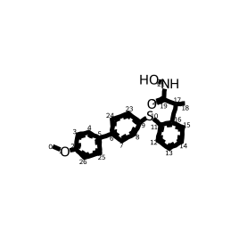 COc1ccc(-c2ccc(Sc3ccccc3C(C)C(=O)NO)cc2)cc1